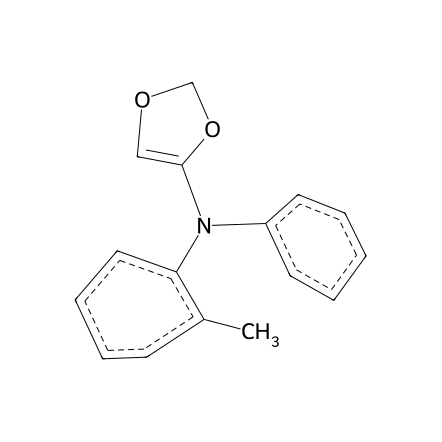 Cc1ccccc1N(C1=COCO1)c1ccccc1